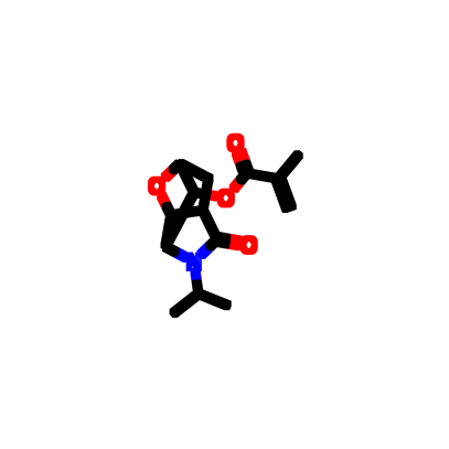 C=C(C)C(=O)OC1C2CC3C(=O)N(C(C)C)C1C3O2